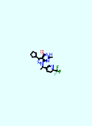 Cc1nc2c(c(C3CCCC3)nn2C(C)c2ccc(C(F)(F)F)nc2)c(=O)[nH]1